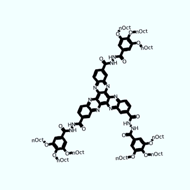 CCCCCCCCOc1cc(C(=O)NNC(=O)c2ccc3nc4c5nc6ccc(C(=O)NNC(=O)c7cc(OCCCCCCCC)c(OCCCCCCCC)c(OCCCCCCCC)c7)cc6nc5c5nc6cc(C(=O)NNC(=O)c7cc(OCCCCCCCC)c(OCCCCCCCC)c(OCCCCCCCC)c7)ccc6nc5c4nc3c2)cc(OCCCCCCCC)c1OCCCCCCCC